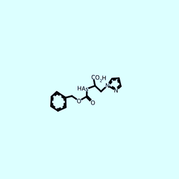 O=C(OCc1ccccc1)[AsH]C(Cn1cccn1)C(=O)O